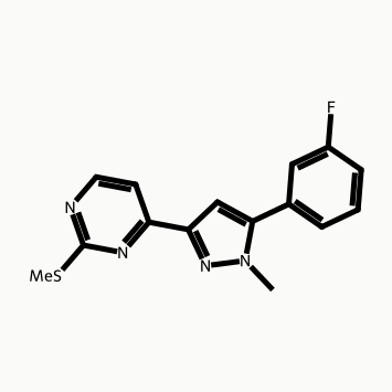 CSc1nccc(-c2cc(-c3cccc(F)c3)n(C)n2)n1